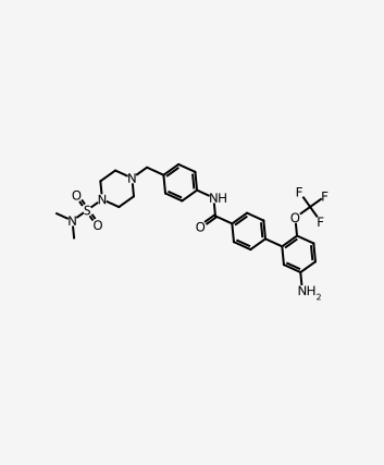 CN(C)S(=O)(=O)N1CCN(Cc2ccc(NC(=O)c3ccc(-c4cc(N)ccc4OC(F)(F)F)cc3)cc2)CC1